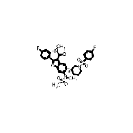 CNC(=O)c1c(-c2ccc(F)cc2)oc2cc(N(C)S(C)(=O)=O)c([C@H]3CCCN(S(=O)(=O)c4ccc(F)cc4)C3)cc12